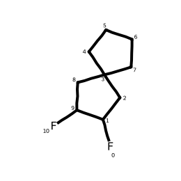 FC1CC2(CCCC2)CC1F